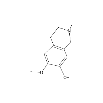 COc1cc2c(cc1O)CN(C)CC2